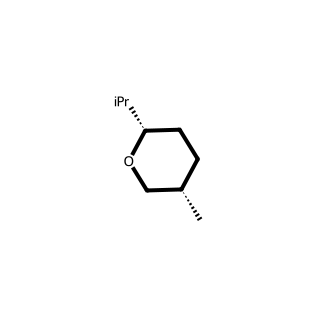 CC(C)[C@@H]1CC[C@H](C)CO1